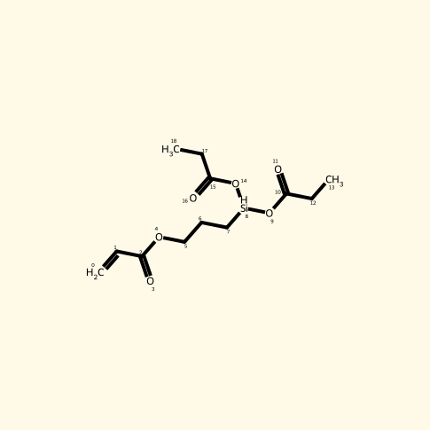 C=CC(=O)OCCC[SiH](OC(=O)CC)OC(=O)CC